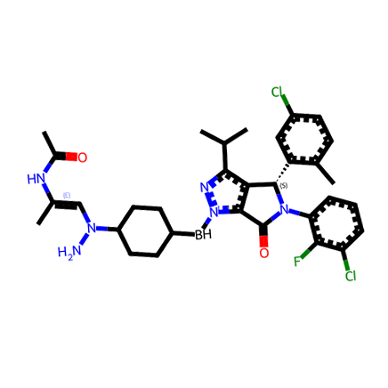 CC(=O)N/C(C)=C/N(N)C1CCC(Bn2nc(C(C)C)c3c2C(=O)N(c2cccc(Cl)c2F)[C@H]3c2cc(Cl)ccc2C)CC1